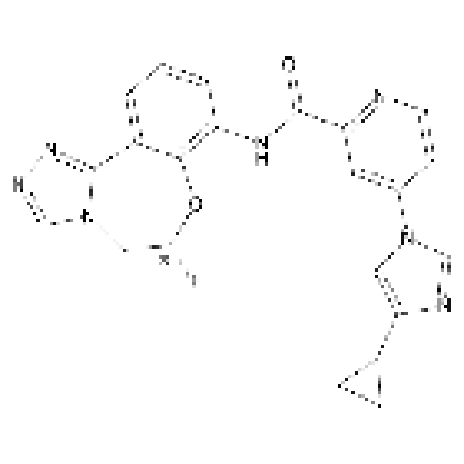 C[C@@H]1Cn2cnnc2-c2cccc(NC(=O)c3cc(-n4cnc(C5CC5)c4)ccn3)c2O1